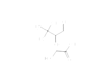 CCC(=O)O.CCC(C)C(C)(C)N